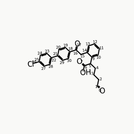 O=CCCCC(C(=O)O)c1ccccc1CC(=O)c1ccc(-c2ccc(Cl)cc2)cc1